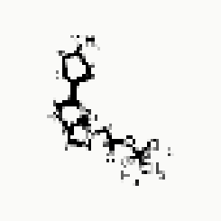 CC1CC=C(c2cnc3cnn(CC(=O)OC(C)(C)C)c3n2)CC1